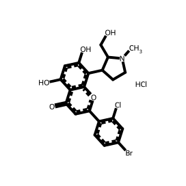 CN1CCC(c2c(O)cc(O)c3c(=O)cc(-c4ccc(Br)cc4Cl)oc23)C1CO.Cl